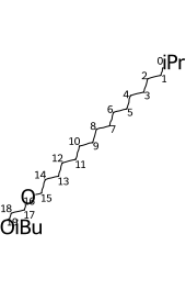 CC(C)CCCCCCCCCCCCCCCOCCOCC(C)C